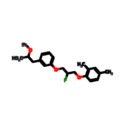 Cc1ccc(OCC(F)COc2cccc(CC(OC(C)C)C(=O)O)c2)c(C)c1